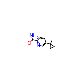 CC1(c2ccc(C(N)=O)nc2)CC1